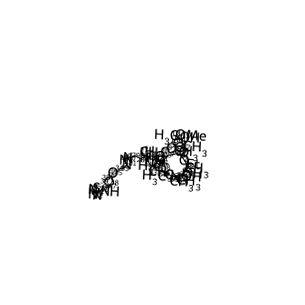 CC[C@H]1OC(=O)[C@H](C)[C@@H](O[C@H]2C[C@@](C)(OC)[C@@H](O)[C@H](C)O2)[C@H](C)[C@@H](O[C@H]2C[C@@H](N(C)CCc3cn(CCCOc4ccc(Nc5nnns5)cc4)nn3)C[C@@H](C)O2)[C@](C)(O)C[C@@H](C)CN(C)[C@H](C)[C@@H](O)[C@]1(C)O